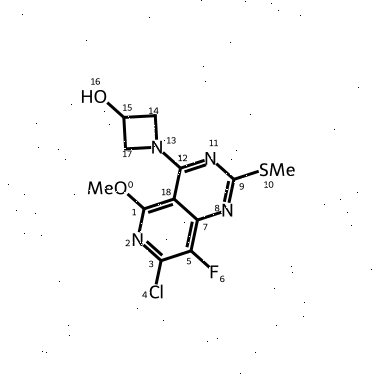 COc1nc(Cl)c(F)c2nc(SC)nc(N3CC(O)C3)c12